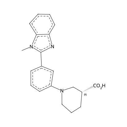 Cn1c(-c2cccc(N3CCC[C@@H](C(=O)O)C3)c2)nc2ccccc21